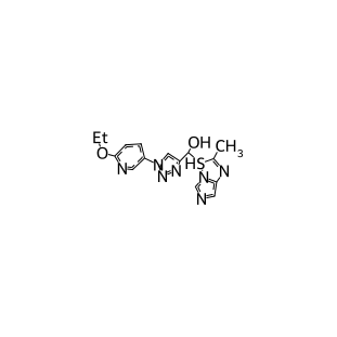 CCOc1ccc(-n2cc(C(O)[SH]3C(C)=Nc4cncn43)nn2)cn1